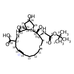 CC(C)(C)OC(=O)N[C@H]1CCCCC/C=C\CC(C(=O)O)NC(=O)[C@@H]2C[C@@H](O)CN2C1=O